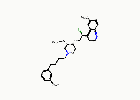 COc1cccc(CCCCN2CC[C@@H](CCC(F)c3ccnc4ccc(OC)cc34)[C@@H](CC(=O)O)C2)c1